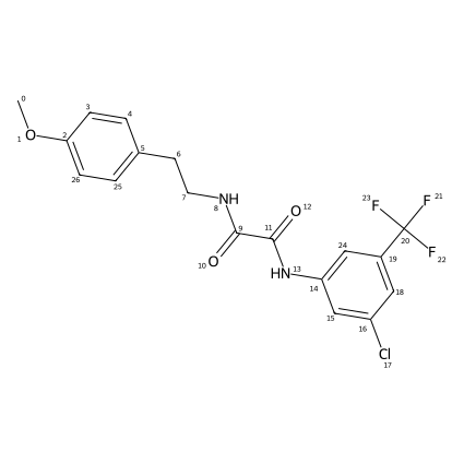 COc1ccc(CCNC(=O)C(=O)Nc2cc(Cl)cc(C(F)(F)F)c2)cc1